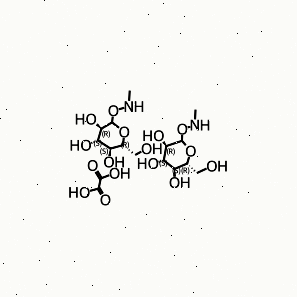 CNOC1O[C@H](CO)[C@@H](O)[C@H](O)[C@H]1O.CNOC1O[C@H](CO)[C@@H](O)[C@H](O)[C@H]1O.O=C(O)C(=O)O